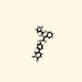 Cc1c(-c2ccc(NC(=O)[C@@H](NC(=O)c3ccnn3C)C3CCCCC3)cc2)ccc(=O)n1C